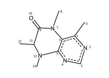 Cc1ncnc2c1N(C)C(=O)C(C)N2C